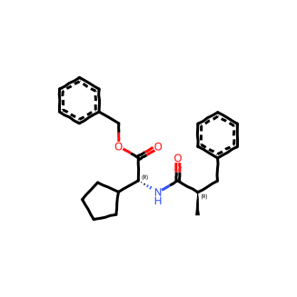 C[C@H](Cc1ccccc1)C(=O)N[C@@H](C(=O)OCc1ccccc1)C1CCCC1